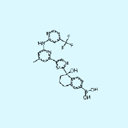 Cc1cc(Nc2cc(C(F)(F)F)ccn2)nc(-c2cnc([C@@]3(O)CCCc4cc(B(O)O)ccc43)s2)c1